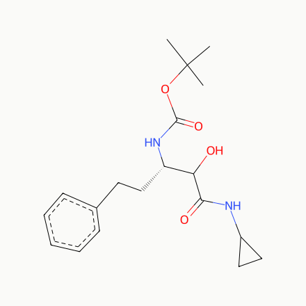 CC(C)(C)OC(=O)N[C@@H](CCc1ccccc1)C(O)C(=O)NC1CC1